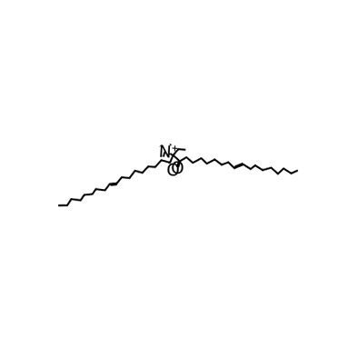 CCCCCCCCC=CCCCCCCCC(=O)C(CC)(C(=O)CCCCCCCC=CCCCCCCCC)[N+](C)(C)C